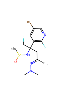 CN(C)N=C(CC(CF)(N[S+]([O-])C(C)(C)C)c1cc(Br)cnc1F)C(F)(F)F